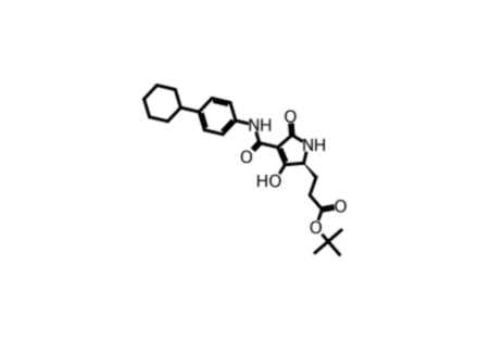 CC(C)(C)OC(=O)CC[C@@H]1NC(=O)C(C(=O)Nc2ccc(C3CCCCC3)cc2)=C1O